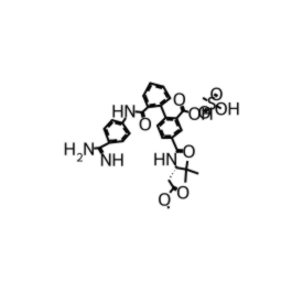 COC(=O)C[C@H](NC(=O)c1ccc(-c2ccccc2C(=O)Nc2ccc(C(=N)N)cc2)c(C(=O)O)c1)C(C)(C)C.CS(=O)(=O)O